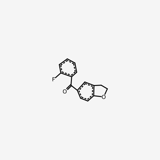 O=C(c1ccc2c(c1)CCO2)c1ccccc1F